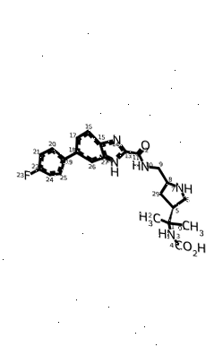 CC(C)(NC(=O)O)[C@@H]1CNC(CNC(=O)c2nc3ccc(-c4ccc(F)cc4)cc3[nH]2)C1